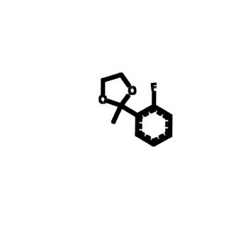 CC1(c2ccccc2F)OCCO1